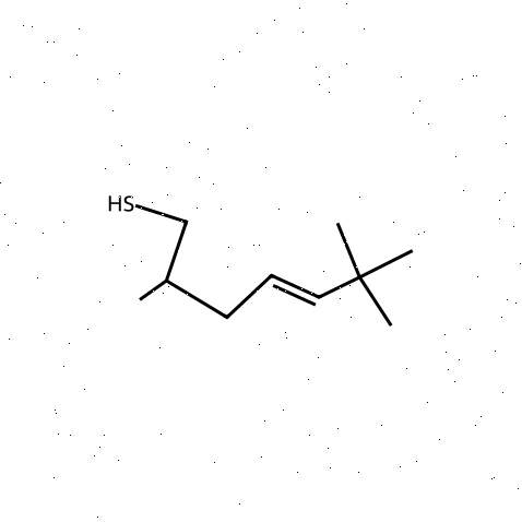 CC(CS)C/C=C/C(C)(C)C